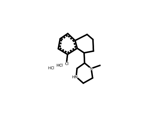 CN1CCNCC1C1CCCc2cccc(Cl)c21.Cl.Cl